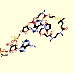 COP(=O)(S)OC[C@H]1O[C@@H](n2cnc3c(N)ncnc32)[C@H](O[P@](=O)(S)OC[C@@H]2C[C@@H](OC(=O)OCCN(C)C(=O)OCCSSC(C)(C)CCC(=O)N(C)CCN(C)C(=O)CCOCCN3C(=O)C=CC3=O)[C@H](n3cnc4c(N)ncnc43)O2)[C@@H]1O